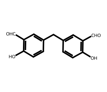 O=Cc1cc(Cc2ccc(O)c(C=O)c2)ccc1O